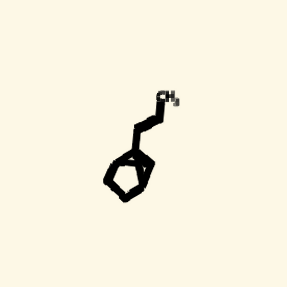 CC=CC1=CC2CCC1C2